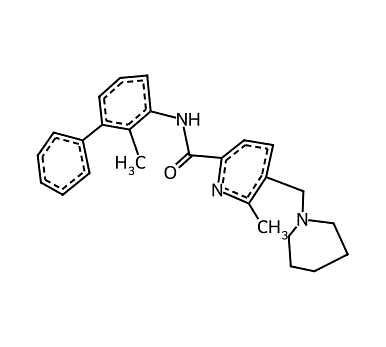 Cc1nc(C(=O)Nc2cccc(-c3ccccc3)c2C)ccc1CN1CCCCC1